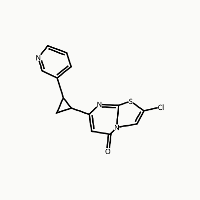 O=c1cc(C2CC2c2cccnc2)nc2sc(Cl)cn12